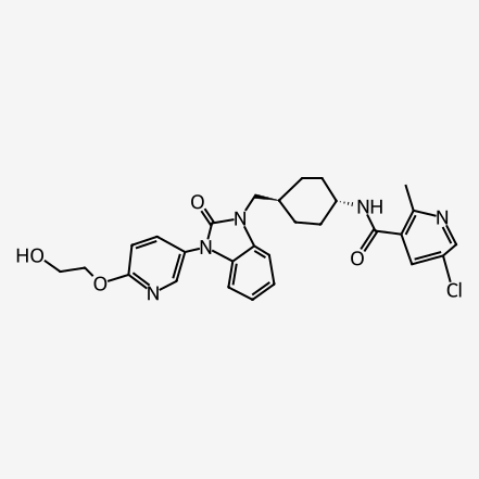 Cc1ncc(Cl)cc1C(=O)N[C@H]1CC[C@H](Cn2c(=O)n(-c3ccc(OCCO)nc3)c3ccccc32)CC1